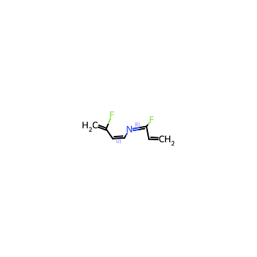 C=C/C(F)=N\C=C/C(=C)F